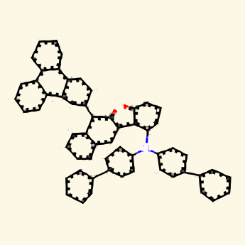 c1ccc(-c2ccc(N(c3ccc(-c4ccccc4)cc3)c3cccc4oc5c(-c6ccc7c8ccccc8c8ccccc8c7c6)c6ccccc6cc5c34)cc2)cc1